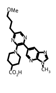 COCCCc1cnc(-c2cnc3c(c2)ncn3C)c(N2CCC(C(=O)O)CC2)n1